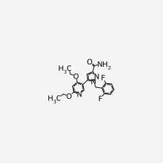 CCOc1cc(OCC)c(-c2cc(C(N)=O)nn2Cc2c(F)cccc2F)cn1